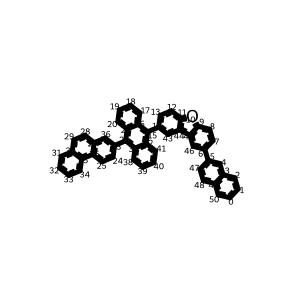 c1ccc2cc(-c3ccc4oc5ccc(-c6c7ccccc7c(-c7ccc8c(ccc9ccccc98)c7)c7ccccc67)cc5c4c3)ccc2c1